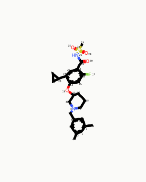 Cc1cc(C)cc(CN2CCCC(Oc3cc(F)c(C(=O)NS(C)(=O)=O)cc3C3CC3)C2)c1